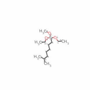 CCO[Si](CCCCCC(C)C)(OC)OCC